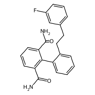 NC(=O)c1cccc(C(N)=O)c1-c1ccccc1CCc1cccc(F)c1